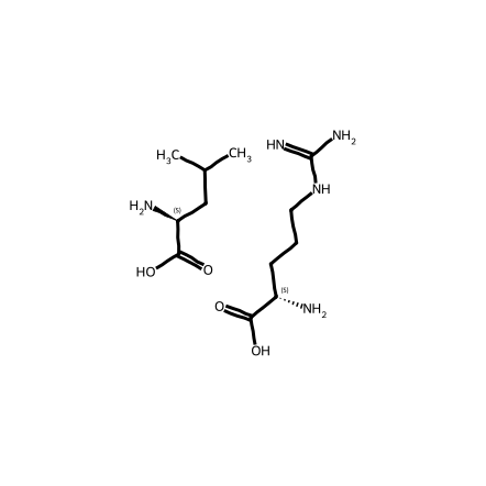 CC(C)C[C@H](N)C(=O)O.N=C(N)NCCC[C@H](N)C(=O)O